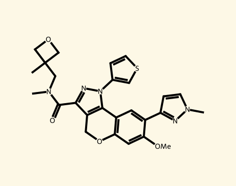 COc1cc2c(cc1-c1ccn(C)n1)-c1c(c(C(=O)N(C)CC3(C)COC3)nn1-c1ccsc1)CO2